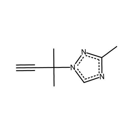 C#CC(C)(C)n1cnc(C)n1